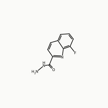 NNC(=O)c1ccc2cccc(F)c2n1